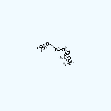 CCC(c1cccc(-c2nc(C(C)(C)C)sc2-c2ccnc(Nc3ccc(C4CCN(C(=O)CCCCCc5ccc6c(c5)C(=O)N(C5CCC(=O)NC5=O)C6)CC4)cc3)n2)c1F)S(N)(=O)=O